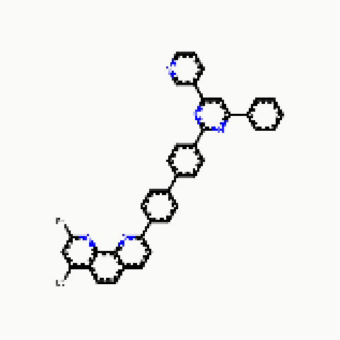 CCc1cc(CC)c2ccc3ccc(-c4ccc(-c5ccc(-c6nc(-c7ccccc7)cc(-c7cccnc7)n6)cc5)cc4)nc3c2n1